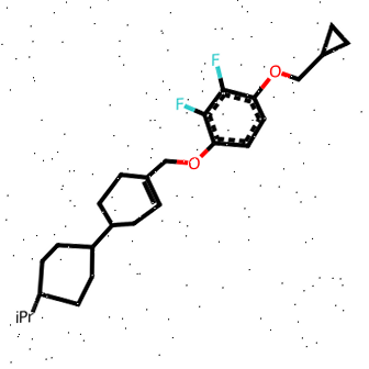 CC(C)C1CCC(C2CC=C(COc3ccc(OCC4CC4)c(F)c3F)CC2)CC1